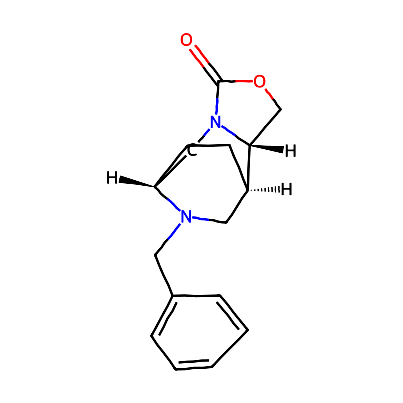 O=C1OC[C@@H]2[C@@H]3CC[C@H](CN12)N(Cc1ccccc1)C3